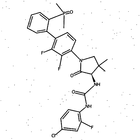 CC1(C)CN(c2ccc(-c3ccccc3P(C)(C)=O)c(F)c2F)C(=O)[C@@H]1NC(=O)Nc1ccc(Cl)cc1F